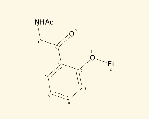 CCOc1ccccc1C(=O)CNC(C)=O